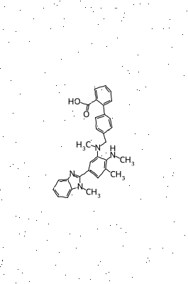 CNc1c(C)cc(-c2nc3ccccc3n2C)cc1N(C)Cc1ccc(-c2ccccc2C(=O)O)cc1